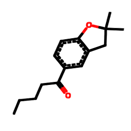 CCCCC(=O)c1ccc2c(c1)CC(C)(C)O2